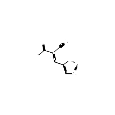 N#C/C(=C\c1cncs1)C(=O)I